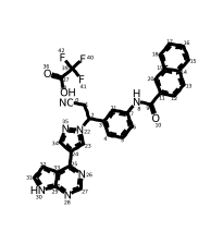 N#CCC(c1cccc(NC(=O)c2ccc3ccccc3c2)c1)n1cc(-c2ncnc3[nH]ccc23)cn1.O=C(O)C(F)(F)F